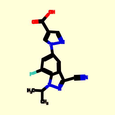 CC(C)n1nc(C#N)c2cc(-n3cc(C(=O)O)cn3)cc(F)c21